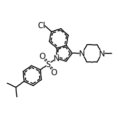 CC(C)c1ccc(S(=O)(=O)n2cc(N3CCN(C)CC3)c3ccc(Cl)cc32)cc1